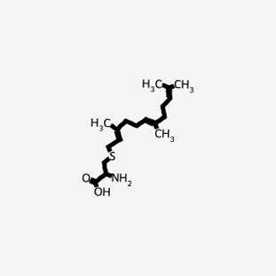 CC(C)=CCCC(C)=CCCC(C)=CCSCC(N)C(=O)O